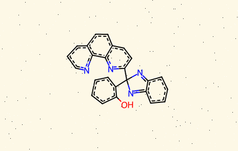 Oc1ccccc1C1(c2ccc3ccc4cccnc4c3n2)N=c2ccccc2=N1